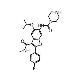 CNC(=O)c1c(-c2ccc(F)cc2)oc2cc(NC(=O)N3CCNCC3)c(OC(C)C)cc12